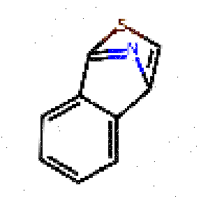 c1ccc2c(c1)-c1csc-2n1